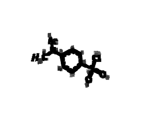 CC(=O)N(C)c1ccc(S(=O)(=O)Cl)cc1